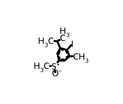 Cc1cc([S+](C)[O-])cc(C(C)C)c1I